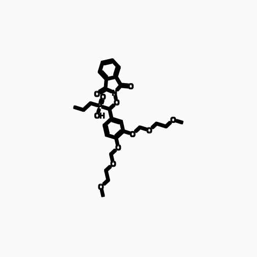 CCCP(=O)(O)C(ON1C(=O)c2ccccc2C1=O)c1ccc(OCOCCOC)c(OCOCCOC)c1